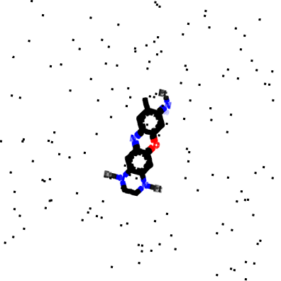 CC/N=c1/cc2oc3cc4c(cc3nc-2cc1C)N(CC)CCN4CC